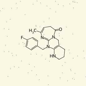 CC1=CCC(=O)N2CC3=C(NCCC3)N(Cc3ccc(F)cc3)C2=N1